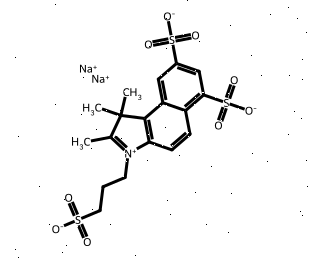 CC1=[N+](CCCS(=O)(=O)[O-])c2ccc3c(S(=O)(=O)[O-])cc(S(=O)(=O)[O-])cc3c2C1(C)C.[Na+].[Na+]